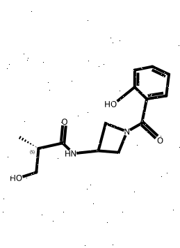 C[C@@H](CO)C(=O)NC1CN(C(=O)c2ccccc2O)C1